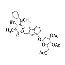 CC(=O)OCC1OC(Oc2cccc3sc(COC(=O)N(C)C(C(=O)N(C)c4ccccc4)C(C)C)cc23)CC(OC(C)=O)C1OC(C)=O